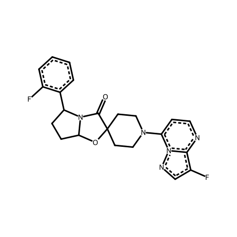 O=C1N2C(CCC2c2ccccc2F)OC12CCN(c1ccnc3c(F)cnn13)CC2